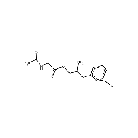 NC(=O)NCC(=O)OCC(N)Cc1cccc(Cl)c1